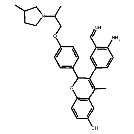 CC1=C(c2ccc(N)c(C=N)c2)C(c2ccc(OCC(C)N3CCC(C)C3)cc2)Oc2ccc(O)cc21